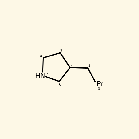 CC(C)CC1CCNC1